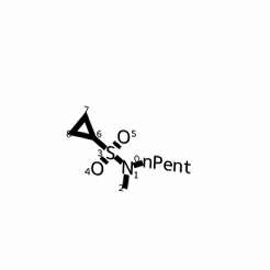 CCCCCN(C)S(=O)(=O)C1CC1